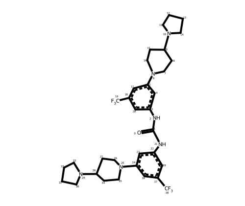 O=C(Nc1cc(N2CCC(N3CCCC3)CC2)cc(C(F)(F)F)c1)Nc1cc(N2CCC(N3CCCC3)CC2)cc(C(F)(F)F)c1